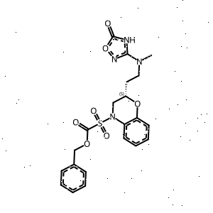 CN(CC[C@H]1CN(S(=O)(=O)C(=O)OCc2ccccc2)c2ccccc2O1)c1noc(=O)[nH]1